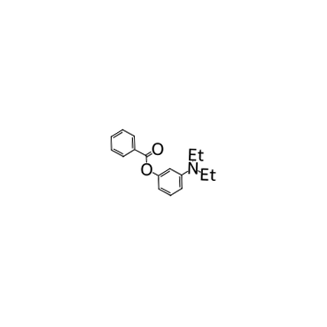 CCN(CC)c1cccc(OC(=O)c2ccccc2)c1